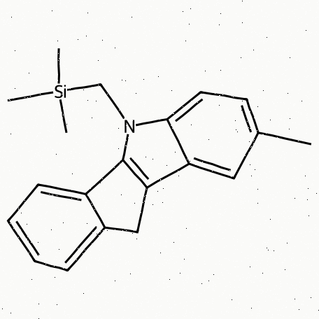 Cc1ccc2c(c1)c1c(n2C[Si](C)(C)C)-c2ccccc2C1